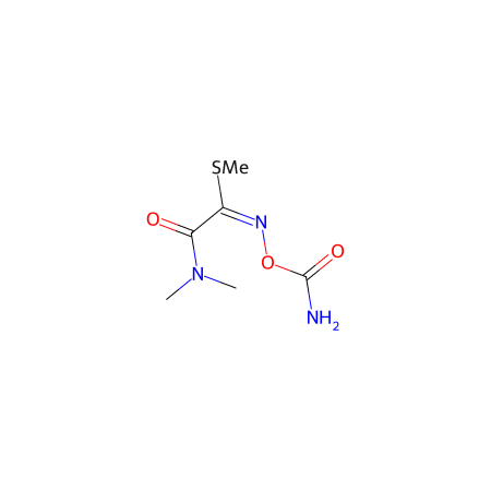 CSC(=NOC(N)=O)C(=O)N(C)C